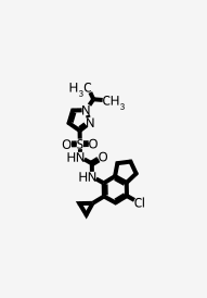 CC(C)n1ccc(S(=O)(=O)NC(=O)Nc2c(C3CC3)cc(Cl)c3c2CCC3)n1